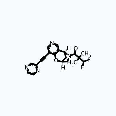 CC(C)(C(=O)N1C[C@@H]2C[C@H]1c1cncc(C#Cc3cnccn3)c1O2)C(F)F